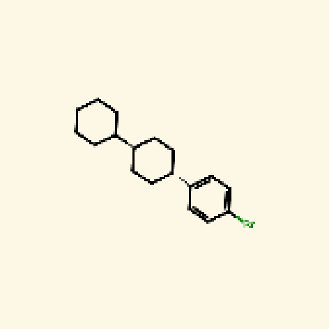 Brc1ccc([C@H]2CC[C@H](C3CC[CH]CC3)CC2)cc1